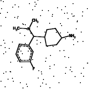 CN(C)C(c1cccc(F)c1)C1CCC(N)CC1